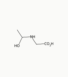 CC(O)NCC(=O)O